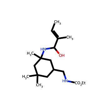 CC=C(C)C(O)NC1(C)CC(CNC(=O)OCC)CC(C)(C)C1